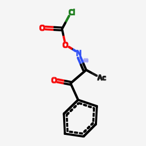 CC(=O)/C(=N/OC(=O)Cl)C(=O)c1ccccc1